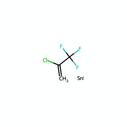 C=C(Cl)C(F)(F)F.[Sn]